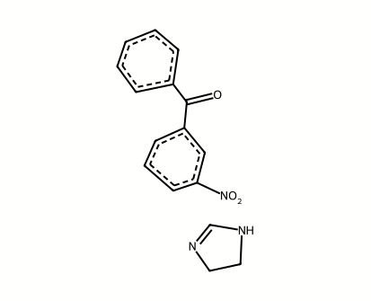 C1=NCCN1.O=C(c1ccccc1)c1cccc([N+](=O)[O-])c1